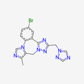 Cc1ncn2c1Cn1nc(Cn3cncn3)nc1-c1cc(Br)ccc1-2